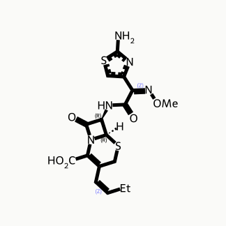 CC/C=C\C1=C(C(=O)O)N2C(=O)[C@@H](NC(=O)/C(=N\OC)c3csc(N)n3)[C@H]2SC1